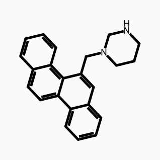 c1ccc2c(c1)cc(CN1CCCNC1)c1c3ccccc3ccc21